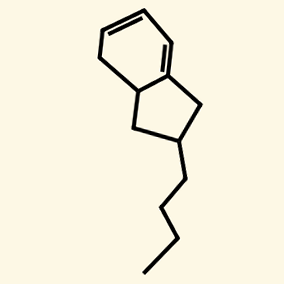 CCCCC1CC2=CC=CCC2C1